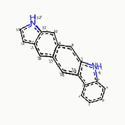 c1ccc2c(c1)[nH]c1cc3cc4[nH]ccc4cc3cc12